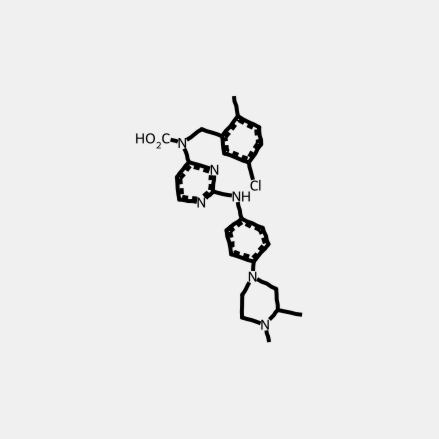 Cc1ccc(Cl)cc1CN(C(=O)O)c1ccnc(Nc2ccc(N3CCN(C)C(C)C3)cc2)n1